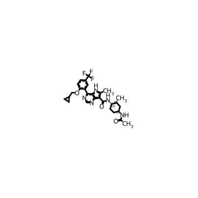 CC(=O)N[C@H]1CC[C@H](NC(=O)c2c(C)[nH]c3c(-c4cc(C(F)(F)F)ccc4OCC4CC4)ncnc23)[C@H](C)C1